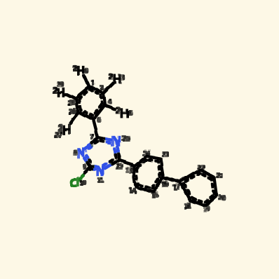 [2H]c1c([2H])c([2H])c(-c2nc(Cl)nc(-c3ccc(-c4ccccc4)cc3)n2)c([2H])c1[2H]